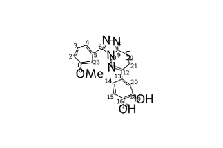 COc1cccc(-c2nnc3n2N=C(c2ccc(O)c(O)c2)CS3)c1